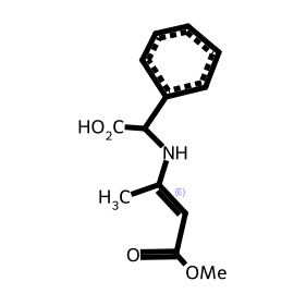 COC(=O)/C=C(\C)NC(C(=O)O)c1ccccc1